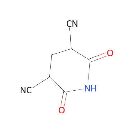 N#CC1CC(C#N)C(=O)NC1=O